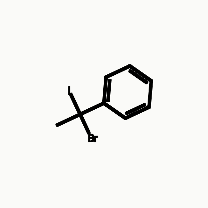 CC(Br)(I)c1ccccc1